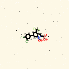 O=C(O)c1cc2c(C(F)(F)F)cc(-c3ccc(Cl)c(Cl)c3)cc2n1O